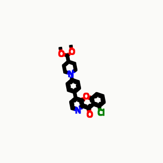 COC(OC)C1CCN(c2ccc(-c3ccnc4c(=O)c5c(Cl)cccc5oc34)cc2)CC1